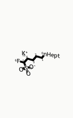 CCCCCCCCCCCC(F)S(=O)(=O)[O-].[K+]